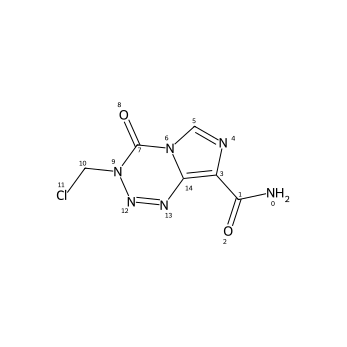 NC(=O)c1ncn2c(=O)n(CCl)nnc12